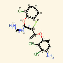 C=C(Oc1ccc(N)c(Cl)c1Cl)/C(F)=C(\N=C/N)Oc1ccccc1Cl